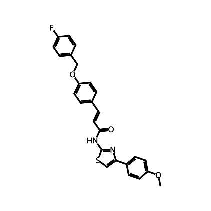 COc1ccc(-c2csc(NC(=O)C=Cc3ccc(OCc4ccc(F)cc4)cc3)n2)cc1